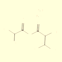 CC(O)C(=O)OC(=O)C(O)C(O)C(=O)O.N.N